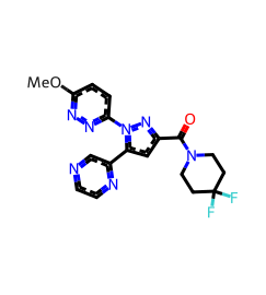 COc1ccc(-n2nc(C(=O)N3CCC(F)(F)CC3)cc2-c2cnccn2)nn1